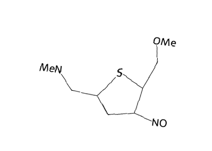 CNCC1CC(N=O)C(COC)S1